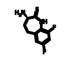 N[C@H]1CCc2cc(F)cc(F)c2NC1=S